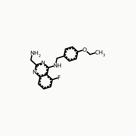 CCOc1ccc(CNc2nc(CN)nc3cccc(F)c23)cc1